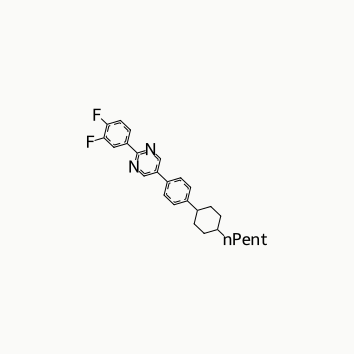 CCCCCC1CCC(c2ccc(-c3cnc(-c4ccc(F)c(F)c4)nc3)cc2)CC1